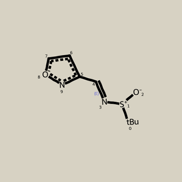 CC(C)(C)[S+]([O-])/N=C/c1ccon1